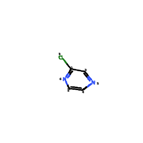 Clc1cnc[c]n1